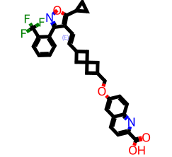 O=C(O)c1ccc2cc(OCC3CC4(CC(/C=C/c5c(-c6ccccc6C(F)(F)F)noc5C5CC5)C4)C3)ccc2n1